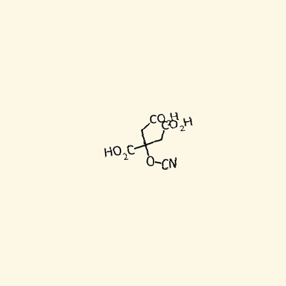 N#COC(CC(=O)O)(CC(=O)O)C(=O)O